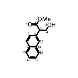 COC(=O)C(CO)c1ccc2ccccc2c1